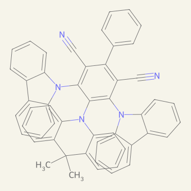 CC1(C)c2ccccc2N(c2c(-n3c4ccccc4c4ccccc43)c(C#N)c(-c3ccccc3)c(C#N)c2-n2c3ccccc3c3ccccc32)c2ccccc21